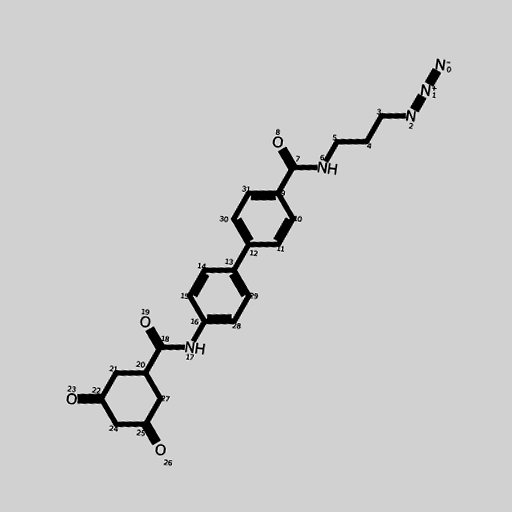 [N-]=[N+]=NCCCNC(=O)c1ccc(-c2ccc(NC(=O)C3CC(=O)CC(=O)C3)cc2)cc1